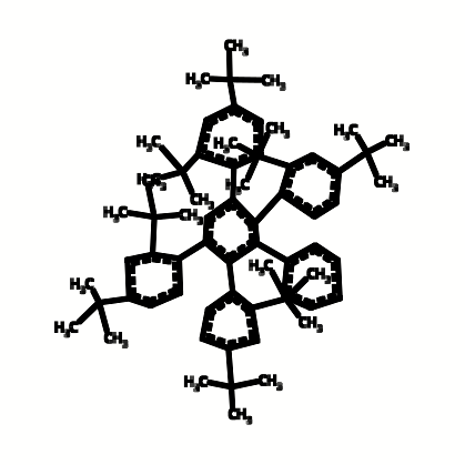 CC(C)(C)c1ccc(-c2cc(-c3ccc(C(C)(C)C)cc3C(C)(C)C)c(-c3ccc(C(C)(C)C)cc3C(C)(C)C)c(-c3ccccc3)c2-c2ccc(C(C)(C)C)cc2C(C)(C)C)c(C(C)(C)C)c1